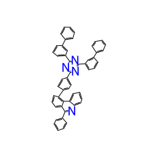 c1ccc(-c2cccc(-c3nc(-c4ccc(-c5cccc6c(-c7ccccc7)nc7ccccc7c56)cc4)nc(-c4cccc(-c5ccccc5)c4)n3)c2)cc1